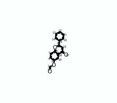 O=COc1ccc2oc(-c3ccccc3)cc(=O)c2c1